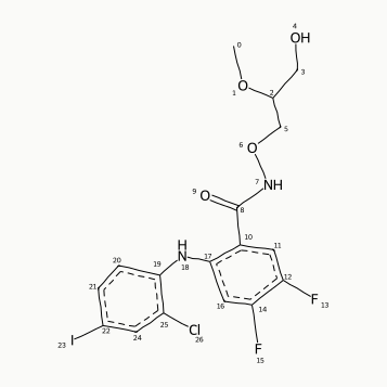 COC(CO)CONC(=O)c1cc(F)c(F)cc1Nc1ccc(I)cc1Cl